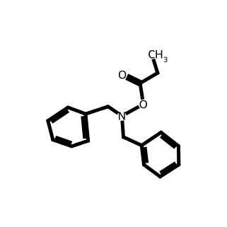 CCC(=O)ON(Cc1ccccc1)Cc1ccccc1